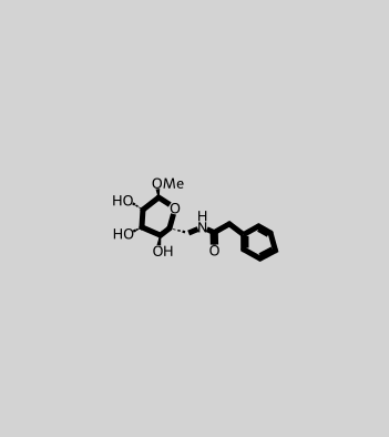 CO[C@H]1O[C@H](CNC(=O)Cc2ccccc2)[C@@H](O)[C@H](O)[C@@H]1O